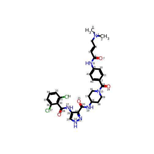 CN(C)C/C=C/C(=O)Nc1ccc(C(=O)N2CCC(NC(=O)c3n[nH]cc3NC(=O)c3c(Cl)cccc3Cl)CC2)cc1